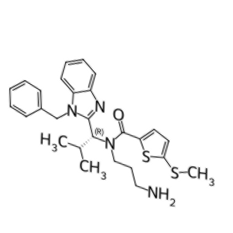 CSc1ccc(C(=O)N(CCCN)[C@@H](c2nc3ccccc3n2Cc2ccccc2)C(C)C)s1